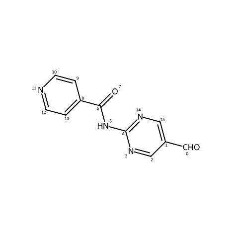 O=Cc1cnc(NC(=O)c2ccncc2)nc1